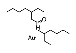 CCCCC(CC)C[PH](=O)CC(CC)CCCC.[Au]